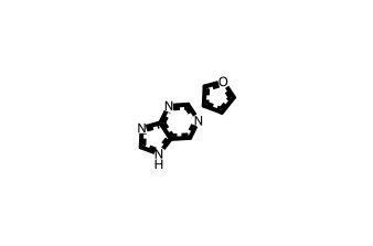 c1ccoc1.c1ncc2[nH]cnc2n1